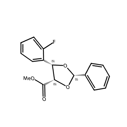 COC(=O)[C@H]1O[C@@H](c2ccccc2)O[C@H]1c1ccccc1F